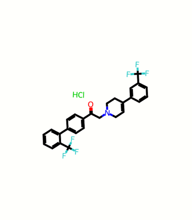 Cl.O=C(CN1CC=C(c2cccc(C(F)(F)F)c2)CC1)c1ccc(-c2ccccc2C(F)(F)F)cc1